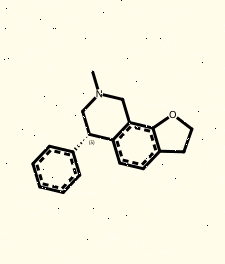 CN1Cc2c(ccc3c2OCC3)[C@H](c2ccccc2)C1